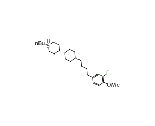 CCCC[SiH]1CCC([C@H]2CC[C@H](CCCCc3ccc(OC)c(F)c3)CC2)CC1